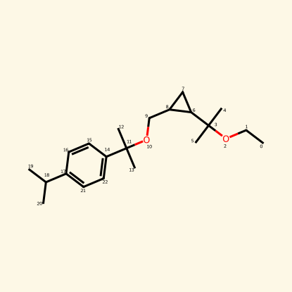 CCOC(C)(C)C1CC1COC(C)(C)c1ccc(C(C)C)cc1